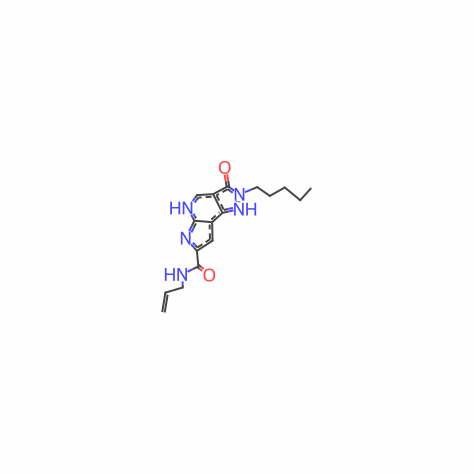 C=CCNC(=O)c1cc2c3[nH]n(CCCCC)c(=O)c3c[nH]c-2n1